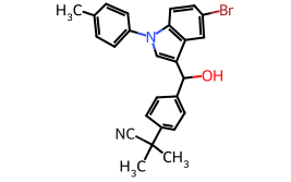 Cc1ccc(-n2cc(C(O)c3ccc(C(C)(C)C#N)cc3)c3cc(Br)ccc32)cc1